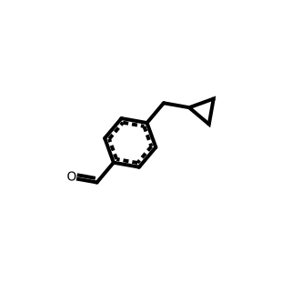 O=Cc1ccc(CC2CC2)cc1